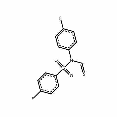 O=S(=O)(c1ccc(F)cc1)N([C]=S)c1ccc(F)cc1